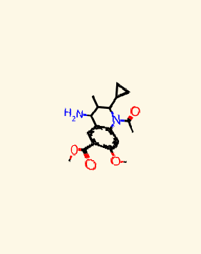 COC(=O)c1cc2c(cc1OC)N(C(C)=O)C(C1CC1)C(C)C2N